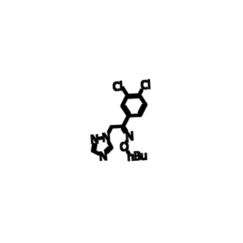 CCCCON=C(Cn1cncn1)c1ccc(Cl)c(Cl)c1